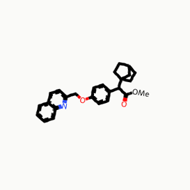 COC(=O)C(c1ccc(OCc2ccc3ccccc3n2)cc1)C12CCC(CC1)C2